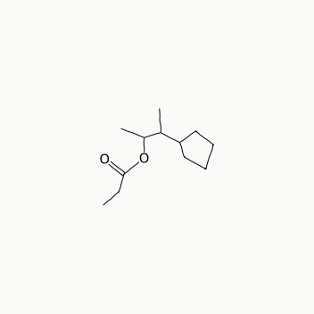 CCC(=O)OC(C)C(C)C1CCCC1